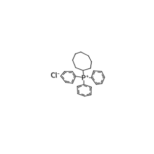 [Cl-].c1ccc([P+](c2ccccc2)(c2ccccc2)C2CCCCCCC2)cc1